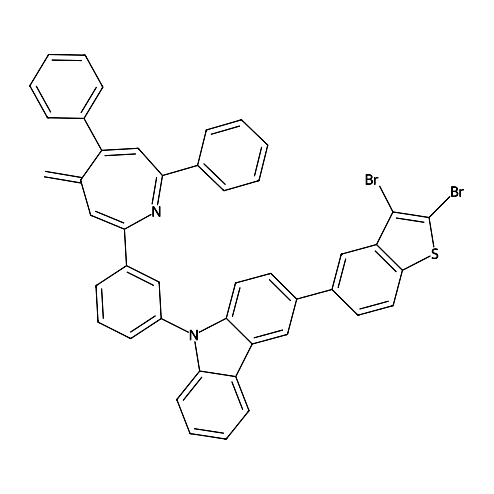 C=C1C=C(c2cccc(-n3c4ccccc4c4cc(-c5ccc6sc(Br)c(Br)c6c5)ccc43)c2)N=C(c2ccccc2)C=C1c1ccccc1